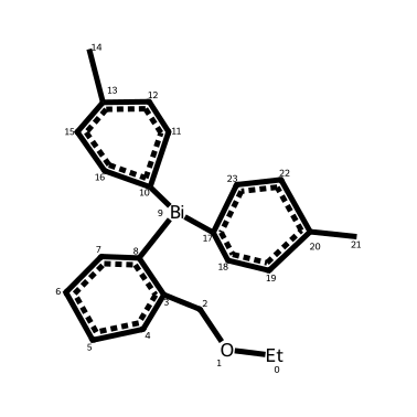 CCOCc1cccc[c]1[Bi]([c]1ccc(C)cc1)[c]1ccc(C)cc1